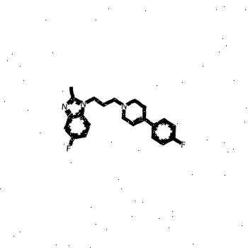 Cc1nc2cc(F)ccc2n1CCCN1CC=C(c2ccc(F)cc2)CC1